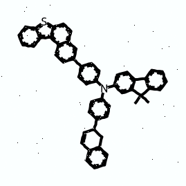 CC1(C)c2ccccc2-c2ccc(N(c3ccc(-c4ccc5c(ccc6sc7ccccc7c65)c4)cc3)c3ccc(C4C=Cc5ccccc5C4)cc3)cc21